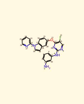 Nc1cccc(Nc2ncc(F)c(Oc3ccc4c(ccn4-c4ccccn4)c3)n2)c1